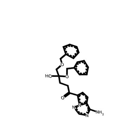 Nc1ncnn2c(C(=O)CCC(O)(COCc3ccccc3)OCc3ccccc3)ccc12